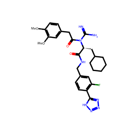 COc1ccc(CC(=O)N(C(=N)N)[C@H](CC2CCCCC2)C(=O)NCc2ccc(-c3nnn[nH]3)c(F)c2)cc1OC